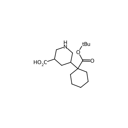 CC(C)(C)OC(=O)C1(C2CNCC(C(=O)O)C2)CCCCC1